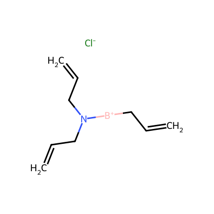 C=CC[B+]N(CC=C)CC=C.[Cl-]